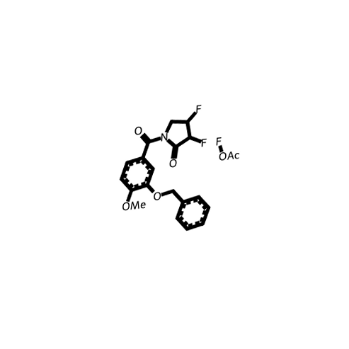 CC(=O)OF.COc1ccc(C(=O)N2CC(F)C(F)C2=O)cc1OCc1ccccc1